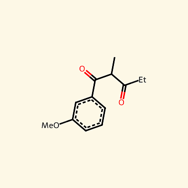 CCC(=O)C(C)C(=O)c1cccc(OC)c1